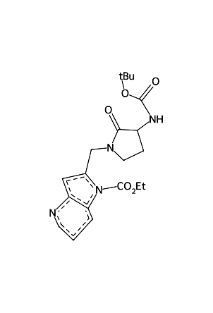 CCOC(=O)n1c(CN2CCC(NC(=O)OC(C)(C)C)C2=O)cc2ncccc21